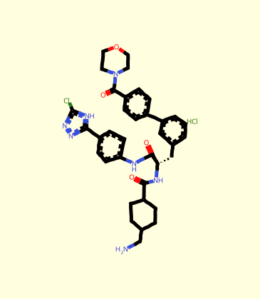 Cl.NCC1CCC(C(=O)N[C@@H](Cc2cccc(-c3ccc(C(=O)N4CCOCC4)cc3)c2)C(=O)Nc2ccc(-c3nnc(Cl)[nH]3)cc2)CC1